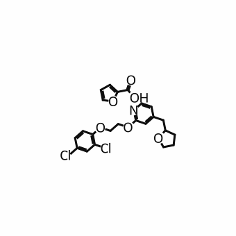 Clc1ccc(OCCOc2cc(CC3CCCO3)ccn2)c(Cl)c1.O=C(O)c1ccco1